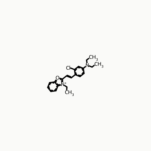 CCN(CC)c1ccc(/C=C/c2oc3ccccc3[n+]2CC)c(Cl)c1